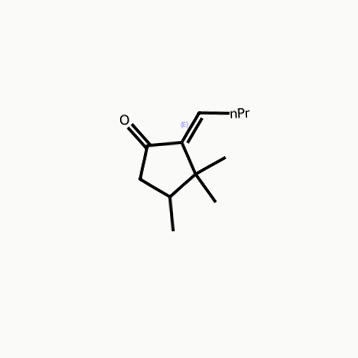 CCC/C=C1/C(=O)CC(C)C1(C)C